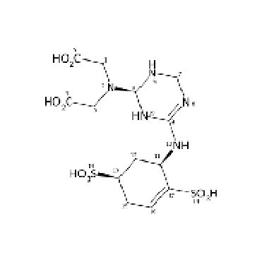 O=C(O)CN(CC(=O)O)[C@H]1NCN=C(N[C@@H]2C[C@H](S(=O)(=O)O)CC=C2S(=O)(=O)O)N1